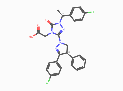 C[C@@H](c1ccc(Cl)cc1)n1nc(N2C[C@@H](c3ccccc3)C(c3ccc(Cl)cc3)=N2)n(CC(=O)O)c1=O